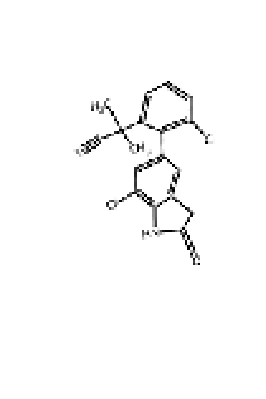 CC(C)(C#N)c1cccc(Cl)c1-c1cc(Cl)c2c(c1)CC(=O)N2